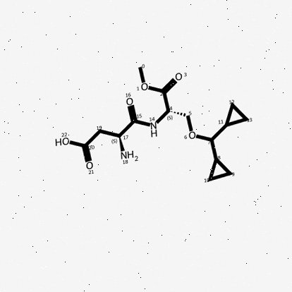 COC(=O)[C@H](COC(C1CC1)C1CC1)NC(=O)[C@@H](N)CC(=O)O